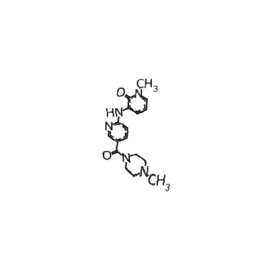 CN1CCN(C(=O)c2ccc(Nc3cccn(C)c3=O)nc2)CC1